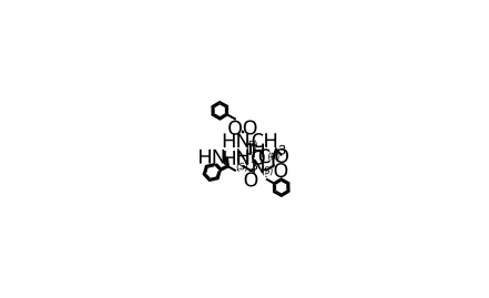 C[C@@H](NC(=O)OCc1ccccc1)C(=O)N[C@@H](Cc1c[nH]c2ccccc12)C(=O)N[C@@H](Cc1ccccc1)C(=O)[C@@]1(C)CO1